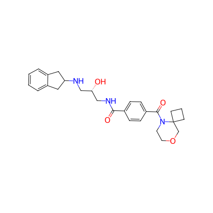 O=C(NC[C@@H](O)CNC1Cc2ccccc2C1)c1ccc(C(=O)N2CCOCC23CCC3)cc1